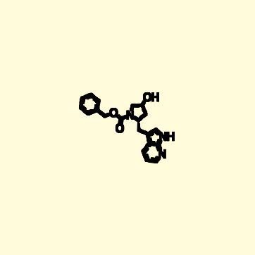 O=C(OCc1ccccc1)N1CC(O)C[C@H]1Cc1c[nH]c2ncccc12